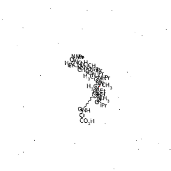 CC[C@H](NC(=O)C(C[C@H](C)CCCCCCCNC(=O)c1ccc(C(=O)O)cc1)N(C)C(=O)CC(C)C)C(=O)N(C)CC(=O)N(C)[C@@H](CC(C)C)C(=O)N[C@H](C(=O)N(C)[C@@H](CC(C)C)C(=O)N[C@H](C)C(=O)NCC(=O)N(C)[C@@H](CC(C)C)C(=O)N(C)[C@@H](CC(C)C)C(=O)NC)C(C)C